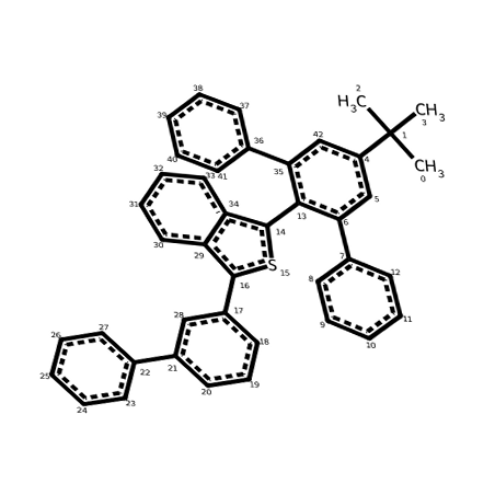 CC(C)(C)c1cc(-c2ccccc2)c(-c2sc(-c3cccc(-c4ccccc4)c3)c3ccccc23)c(-c2ccccc2)c1